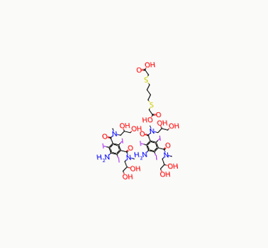 CN(CC(O)CO)C(=O)c1c(I)c(N)c(I)c(C(=O)N(C)CC(O)CO)c1I.CN(CC(O)CO)C(=O)c1c(I)c(N)c(I)c(C(=O)N(C)CC(O)CO)c1I.O=C(O)CSCCCCSCC(=O)O